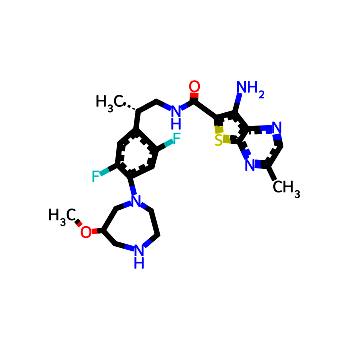 COC1CNCCN(c2cc(F)c([C@H](C)CNC(=O)c3sc4nc(C)cnc4c3N)cc2F)C1